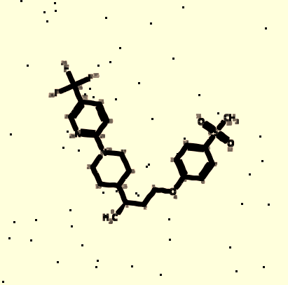 C[C@H](CCOc1ccc(S(C)(=O)=O)cc1)C1CCN(c2ccc(C(F)(F)F)cn2)CC1